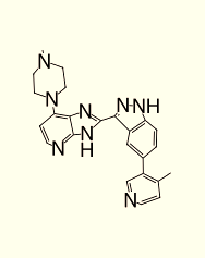 Cc1ccncc1-c1ccc2[nH]nc(-c3nc4c(N5CCN(C)CC5)ccnc4[nH]3)c2c1